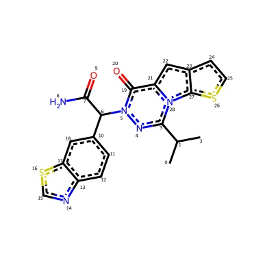 CC(C)c1nn(C(C(N)=O)c2ccc3ncsc3c2)c(=O)c2cc3ccsc3n12